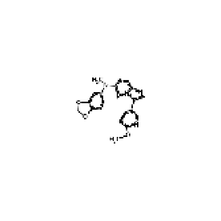 COc1ccc(-c2cnc3ccc(N(C)c4ccc5c(c4)OCO5)nn23)cn1